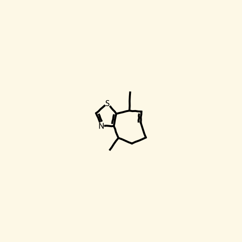 CC1/C=C/CCC(C)c2ncsc21